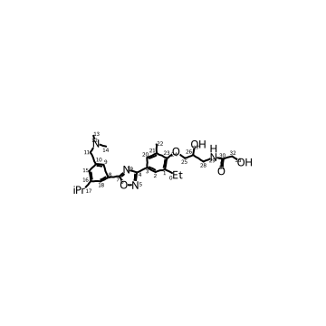 CCc1cc(-c2noc(-c3cc(CN(C)C)cc(C(C)C)c3)n2)cc(C)c1OCC(O)CNC(=O)CO